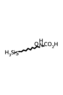 O=C(O)CNCC(=O)CCCCCCCCS[SiH3]